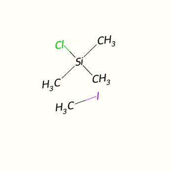 CI.C[Si](C)(C)Cl